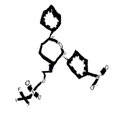 O=[N+]([O-])c1ccc([C@H]2O[C@H](c3ccccc3)CC/C2=C\COS(=O)(=O)C(F)(F)F)cc1